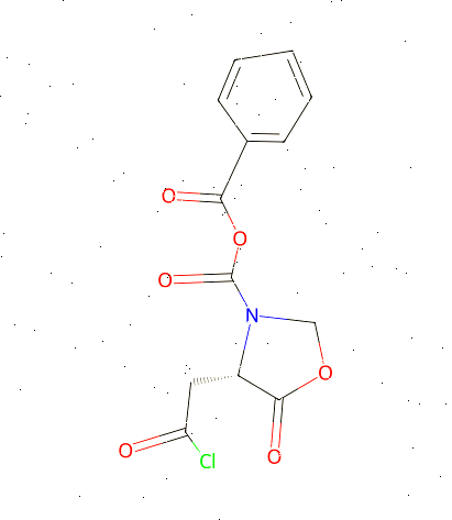 O=C(Cl)C[C@H]1C(=O)OCN1C(=O)OC(=O)c1ccccc1